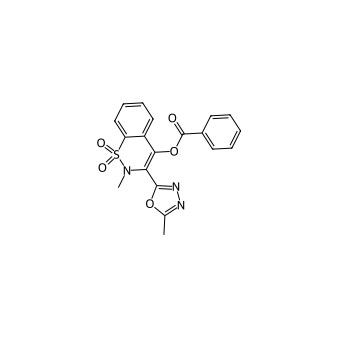 Cc1nnc(C2=C(OC(=O)c3ccccc3)c3ccccc3S(=O)(=O)N2C)o1